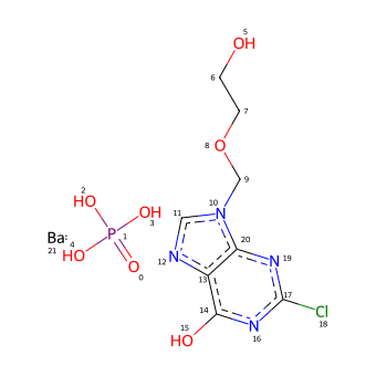 O=P(O)(O)O.OCCOCn1cnc2c(O)nc(Cl)nc21.[Ba]